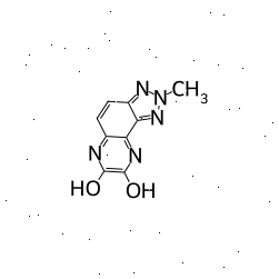 Cn1nc2ccc3nc(O)c(O)nc3c2n1